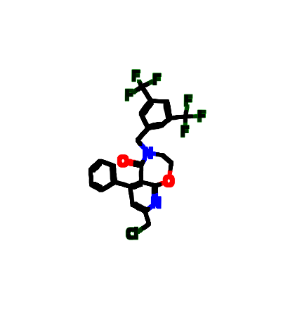 O=C1c2c(-c3ccccc3)cc(CCl)nc2OCCN1Cc1cc(C(F)(F)F)cc(C(F)(F)F)c1